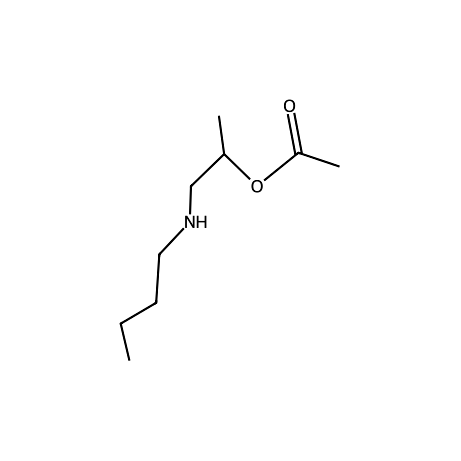 CCCCNCC(C)OC(C)=O